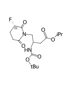 CC(C)OC(=O)CC(CN1C(=O)CC[C@H](F)C1=O)NC(=O)OC(C)(C)C